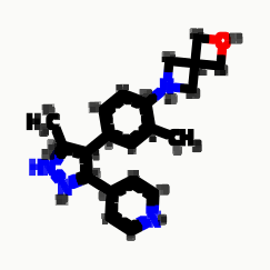 Cc1cc(-c2c(-c3ccncc3)n[nH]c2C)ccc1N1CC2(COC2)C1